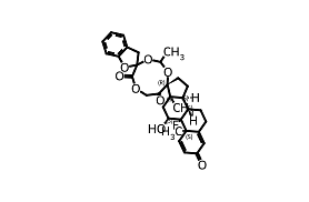 CC1OC2(Cc3ccccc3O2)C(=O)OCC(=O)[C@]2(CC[C@H]3[C@@H]4CCC5=CC(=O)C=C[C@]5(C)C4(F)[C@@H](O)C[C@@]32C)O1